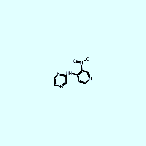 O=[N+]([O-])c1cnccc1Nc1cnccn1